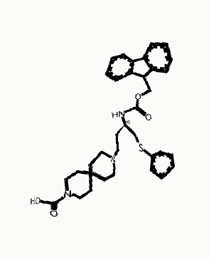 O=C(N[C@H](CCN1CCC2(CC1)CCN(C(=O)O)CC2)CSc1ccccc1)OCC1c2ccccc2-c2ccccc21